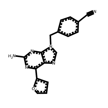 N#Cc1ccc(Cn2cnc3c(-c4ccco4)nc(N)nc32)cc1